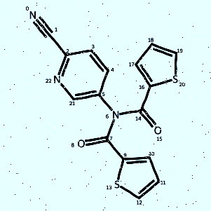 N#Cc1ccc(N(C(=O)c2cccs2)C(=O)c2cccs2)cn1